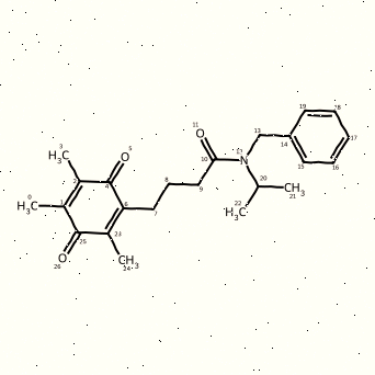 CC1=C(C)C(=O)C(CCCC(=O)N(Cc2ccccc2)C(C)C)=C(C)C1=O